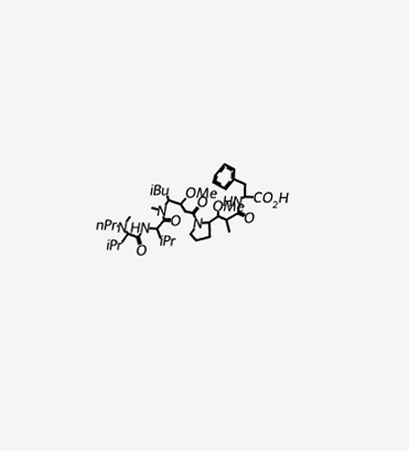 CCCN(C)C(C(=O)NC(C(=O)N(C)C(C(C)CC)C(CC(=O)N1CCCC1C(OC)C(C)C(=O)NC(Cc1ccccc1)C(=O)O)OC)C(C)C)C(C)C